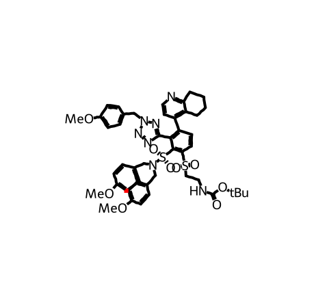 COc1ccc(CN(Cc2ccc(OC)cc2)S(=O)(=O)c2c(S(=O)(=O)CCNC(=O)OC(C)(C)C)ccc(-c3ccnc4c3CCCC4)c2-c2nnn(Cc3ccc(OC)cc3)n2)cc1